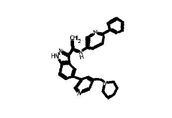 C=C(Nc1ccc(-c2ccccc2)nc1)c1n[nH]c2ccc(-c3cncc(CN4CCCCC4)c3)cc12